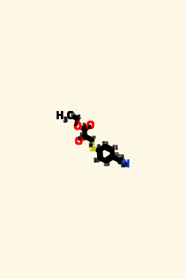 CCOC(=O)C(=O)CSc1ccc(C#N)cc1